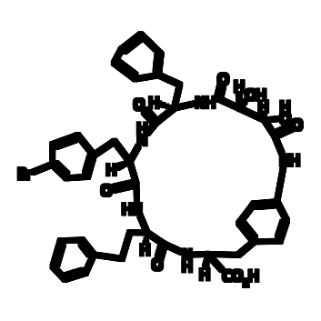 O=C1N[C@H](CCc2ccccc2)C(=O)N[C@@H](C(=O)O)Cc2ccc(cc2)NC(=O)[C@H](O)[C@@H](O)C(=O)N[C@H](Cc2ccccc2)C(=O)N[C@H]1Cc1ccc(Br)cc1